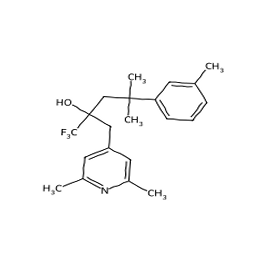 Cc1cccc(C(C)(C)CC(O)(Cc2cc(C)nc(C)c2)C(F)(F)F)c1